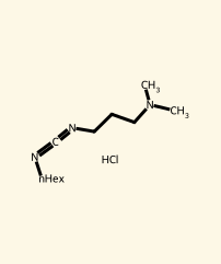 CCCCCCN=C=NCCCN(C)C.Cl